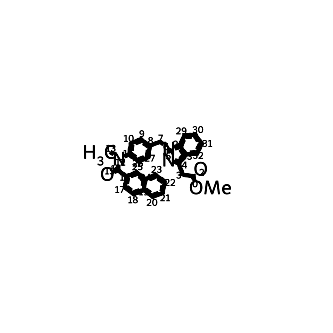 COC(=O)Cc1nn(Cc2ccc(N(C)C(=O)c3ccc4ccccc4c3)cc2)c2ccccc12